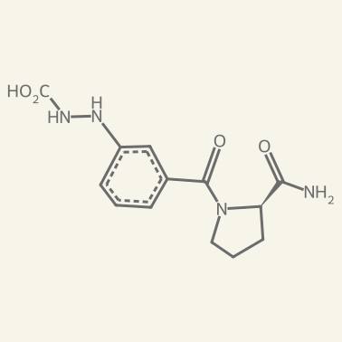 NC(=O)[C@H]1CCCN1C(=O)c1cccc(NNC(=O)O)c1